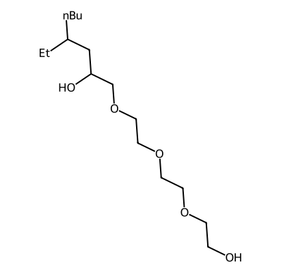 CCCCC(CC)CC(O)COCCOCCOCCO